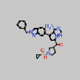 Nc1ncnn2c(C(=O)C3CCN(S(=O)(=O)C4CC4)C3)cc(-c3ccc4cn(Cc5ccccc5)nc4c3)c12